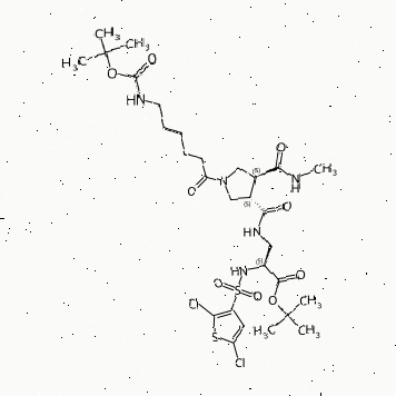 CNC(=O)[C@@H]1CN(C(=O)CCCCCNC(=O)OC(C)(C)C)C[C@H]1C(=O)NC[C@H](NS(=O)(=O)c1cc(Cl)sc1Cl)C(=O)OC(C)(C)C